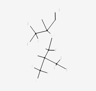 CCC(F)(OC(F)(F)C(F)(C(F)(F)F)C(F)(F)F)C(F)(F)F